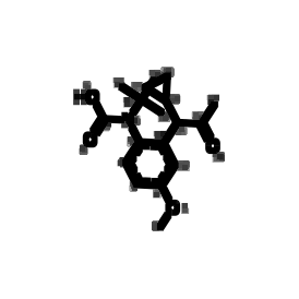 COc1ccc(N(C(=O)O)C(C)(C)C)c(C(C(C)=O)C2CC2)c1